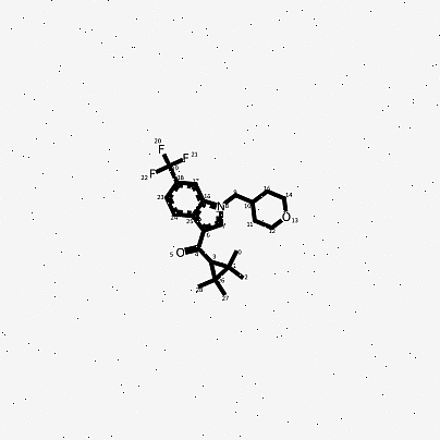 CC1(C)C(C(=O)c2cn(CC3CCOCC3)c3cc(C(F)(F)F)ccc23)C1(C)C